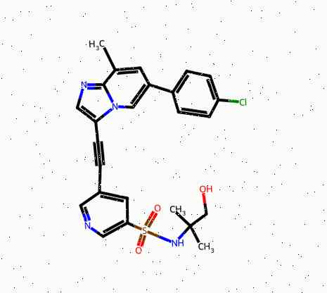 Cc1cc(-c2ccc(Cl)cc2)cn2c(C#Cc3cncc(S(=O)(=O)NC(C)(C)CO)c3)cnc12